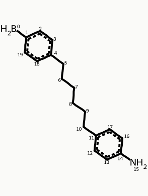 Bc1ccc(CCCCCCc2ccc(N)cc2)cc1